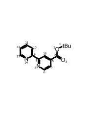 CC(C)(C)OC(=O)c1ccnc(-c2ccccn2)c1